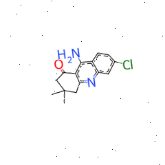 CC1(C)CC(=O)c2c(nc3cc(Cl)ccc3c2N)C1